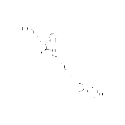 Cc1cn([C@@H](CCCCN)C(=O)NCCCCCCCCCCC(=O)N2CCNCC2)nn1